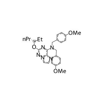 CCC[C@H](CC)Oc1nc(N(Cc2ccc(OC)cc2)Cc2ccc(OC)cc2)c2nccn2n1